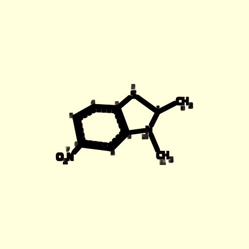 CC1Sc2ccc([N+](=O)[O-])cc2N1C